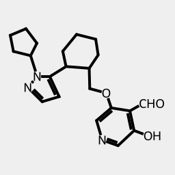 O=Cc1c(O)cncc1OCC1CCCCC1c1ccnn1C1CCCC1